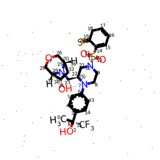 C[C@](O)(c1ccc(N2CCN(S(=O)(=O)C3=CC=CCC3=S)C[C@@H]2CN2[C@@H]3COC[C@H]2[C@@H](O)C3)cc1)C(F)(F)F